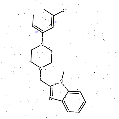 C/C=C(\C=C(/C)Cl)N1CCN(Cc2nc3ccccc3n2C)CC1